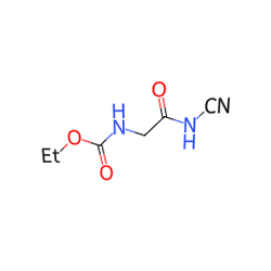 CCOC(=O)NCC(=O)NC#N